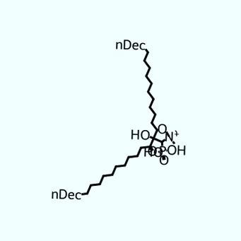 CCCCCCCCCCCCCCCCCCCCC(=O)C(O)(C(=O)CCCCCCCCCCCCCCCCCCCC)C([N+](C)(C)C)P(=O)(O)O